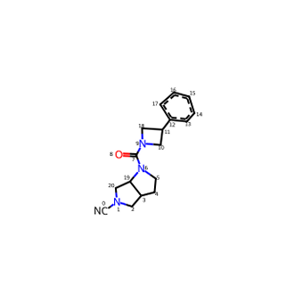 N#CN1CC2CCN(C(=O)N3CC(c4ccccc4)C3)C2C1